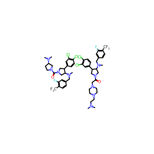 CN(C)CCN1CCN(CC(=O)N2CC(c3ccc(Cl)c(Cl)c3)C(N(C)Cc3ccc(C(F)(F)F)c(F)c3)C2)CC1.CN(Cc1ccc(C(F)(F)F)c(F)c1)C1CN(C(=O)N2CC[C@@H](N(C)C)C2)CC1c1ccc(Cl)c(Cl)c1